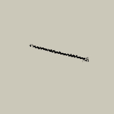 OCCCCCCCCCCCCCCCCCCCCCCCCCCCCCCCCCCCCCC[Si](Cl)(Cl)Cl